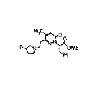 COC(=O)[C@H](CC(C)C)n1nc(CCN2CC[C@@H](F)C2)c(C)cc1=O